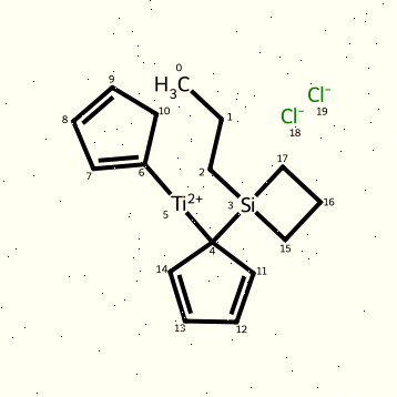 CCC[Si]1([C]2([Ti+2][C]3=CC=CC3)C=CC=C2)CCC1.[Cl-].[Cl-]